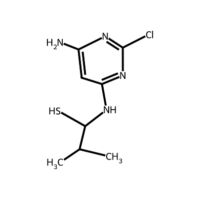 CC(C)C(S)Nc1cc(N)nc(Cl)n1